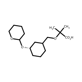 CC(C)(OCC1CCC[C@H](OC2CCCCO2)C1)C(=O)O